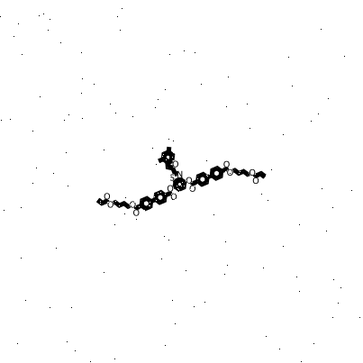 C=CC(=O)OCCCCOC(=O)C1CCC(C2CCC(C(=O)Oc3ccc(OC(=O)C4CCC(C5CCC(C(=O)OCCCCOC(=O)C=C)CC5)CC4)c4sc(-c5cc6c(C)cc(C)cc6o5)nc34)CC2)CC1